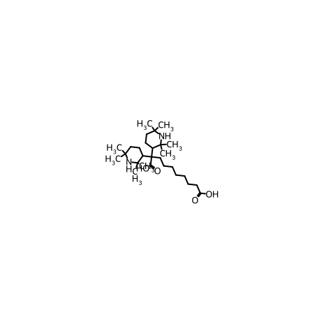 CC1(C)CCC(C(CCCCCCCC(=O)O)(C(=O)O)C2CCC(C)(C)NC2(C)C)C(C)(C)N1